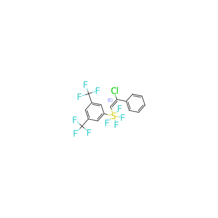 FC(F)(F)c1cc(C(F)(F)F)cc(S(F)(F)(F)(F)/C=C(/Cl)c2ccccc2)c1